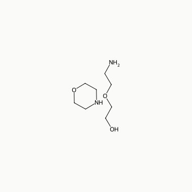 C1COCCN1.NCCOCCO